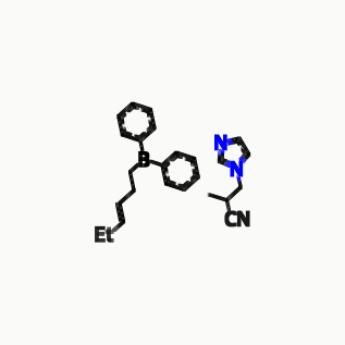 CC(C#N)Cn1ccnc1.CCC=CCCB(c1ccccc1)c1ccccc1